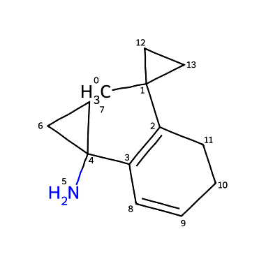 CC1(C2=C(C3(N)CC3)C=CCC2)CC1